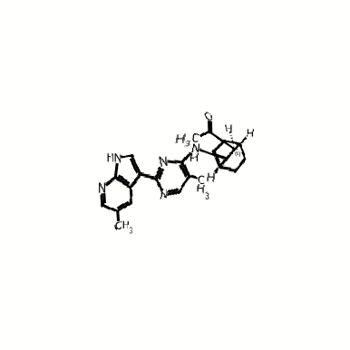 CC(=O)[C@@H]1C(Nc2nc(-c3c[nH]c4ncc(C)cc34)ncc2C)[C@H]2CC[C@@H]1CC2